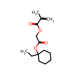 C=C(C)C(=O)OCC(=O)OC1(CC)CCCCC1